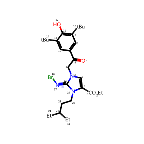 CCOC(=O)c1cn(CC(=O)c2cc(C(C)(C)C)c(O)c(C(C)(C)C)c2)/c(=N\Br)n1CCC(CC)CC